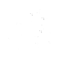 Cc1ccccc1-c1c(O)c2nonc2n(CC(F)(F)F)c1=O